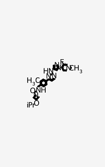 Cc1cc(-c2ccnc(Nc3cnn([C@H]4CCN(C)C[C@@H]4F)c3)n2)ccc1CNC(=O)N1CC(OC(C)C)C1